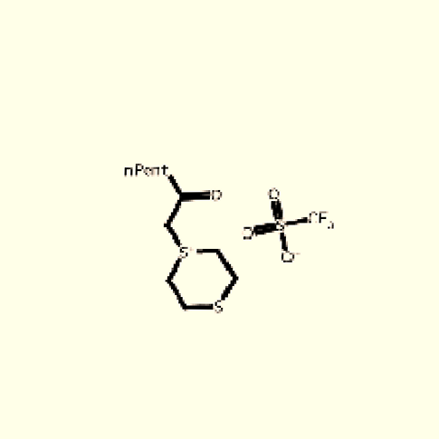 CCCCCC(=O)C[S+]1CCSCC1.O=S(=O)([O-])C(F)(F)F